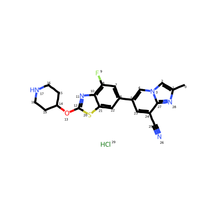 Cc1cn2cc(-c3cc(F)c4nc(OC5CCNCC5)sc4c3)cc(C#N)c2n1.Cl